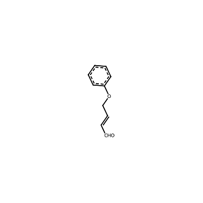 O=CC=CCOc1ccccc1